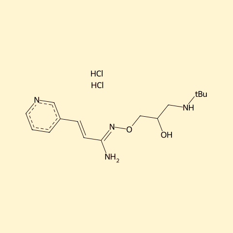 CC(C)(C)NCC(O)CON=C(N)C=Cc1cccnc1.Cl.Cl